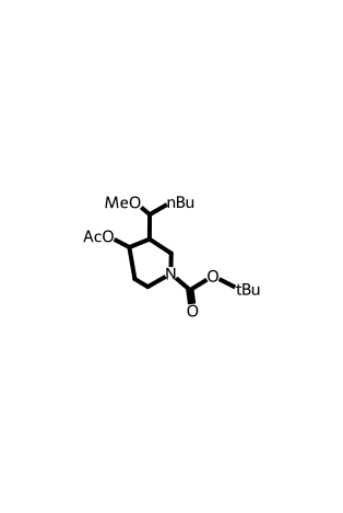 CCCCC(OC)C1CN(C(=O)OC(C)(C)C)CCC1OC(C)=O